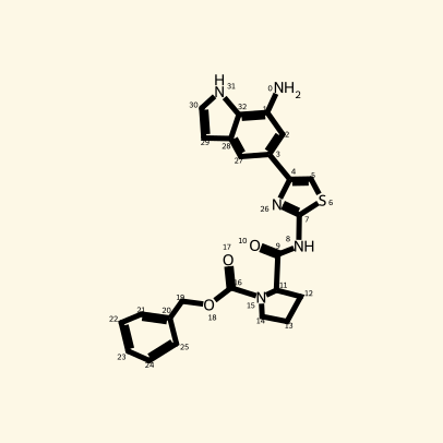 Nc1cc(-c2csc(NC(=O)C3CCCN3C(=O)OCc3ccccc3)n2)cc2cc[nH]c12